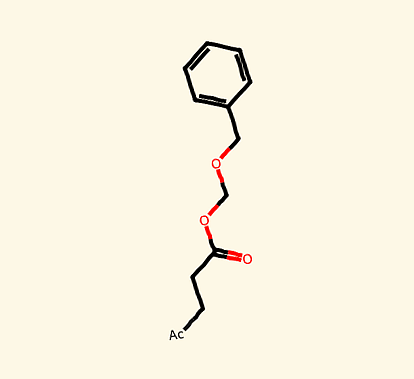 CC(=O)CCC(=O)OCOCc1ccccc1